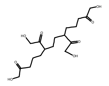 O=C(CO)CCCC(CCC(CCCC(=O)CO)C(=O)CO)C(=O)CO